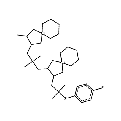 CC1C[N+]2(CCCCC2)CC1CC(C)(C)CC1C[N+]2(CCCCC2)CC1CC(C)(C)Sc1ccc(F)cc1